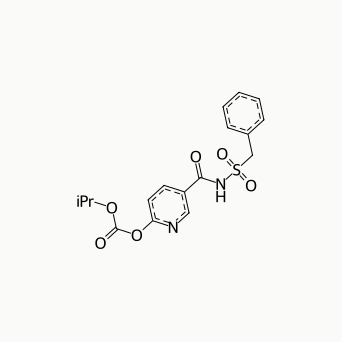 CC(C)OC(=O)Oc1ccc(C(=O)NS(=O)(=O)Cc2ccccc2)cn1